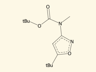 CN(C(=O)OC(C)(C)C)c1cc(C(C)(C)C)on1